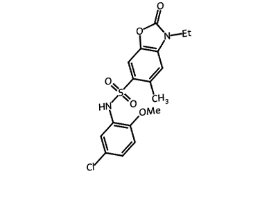 CCn1c(=O)oc2cc(S(=O)(=O)Nc3cc(Cl)ccc3OC)c(C)cc21